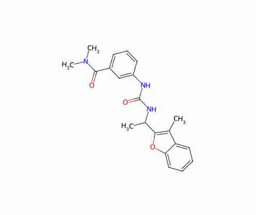 Cc1c(C(C)NC(=O)Nc2cccc(C(=O)N(C)C)c2)oc2ccccc12